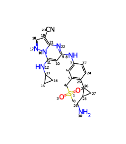 CS(=O)(=O)Cc1cc(Nc2cc(NC3CC3)n3ncc(C#N)c3n2)ccc1C1CC1CN